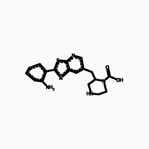 Nc1ccccc1-c1nc2cc(CC3CNCCN3C(=O)O)cnc2s1